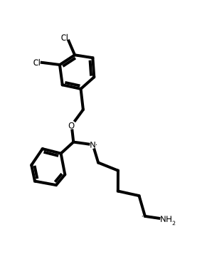 N[CH]CCCC[N]C(OCc1ccc(Cl)c(Cl)c1)c1ccccc1